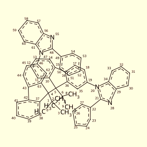 CC(C)(C)C1(C2(C(C)(C)C)c3ccccc3-c3ccc(-n4c(-c5ccccc5)nc5ccccc54)cc32)c2ccccc2-c2ccc(-n3c(-c4ccccc4)nc4ccccc43)cc21